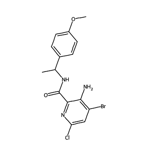 COc1ccc(C(C)NC(=O)c2nc(Cl)cc(Br)c2N)cc1